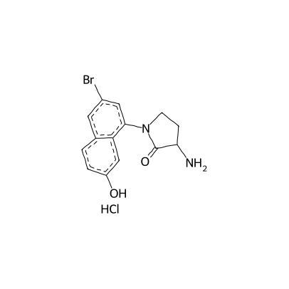 Cl.NC1CCN(c2cc(Br)cc3ccc(O)cc23)C1=O